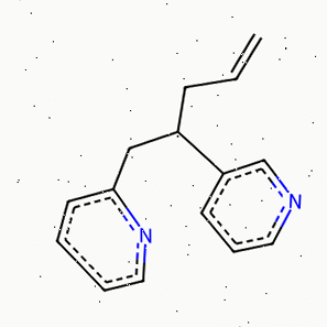 C=CC[C](Cc1ccccn1)c1cccnc1